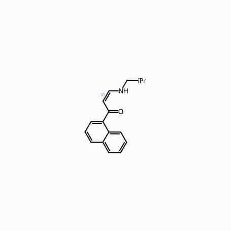 CC(C)CN/C=C\C(=O)c1cccc2ccccc12